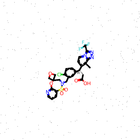 Cc1c([C@H](CC(=O)O)c2ccc(Cl)c(CN3CC4(COC4)Oc4ncccc4S3(=O)=O)c2)ccn2c(C(F)(F)F)nnc12